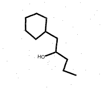 CCCC(O)CC1C[CH]CCC1